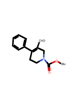 CC(C)(C)OC(=O)N1CCC(c2ccccc2)=C([C]=O)C1